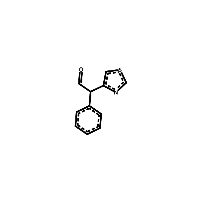 O=CC(c1ccccc1)c1cscn1